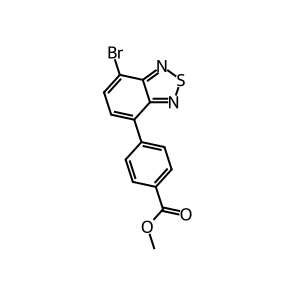 COC(=O)c1ccc(-c2ccc(Br)c3nsnc23)cc1